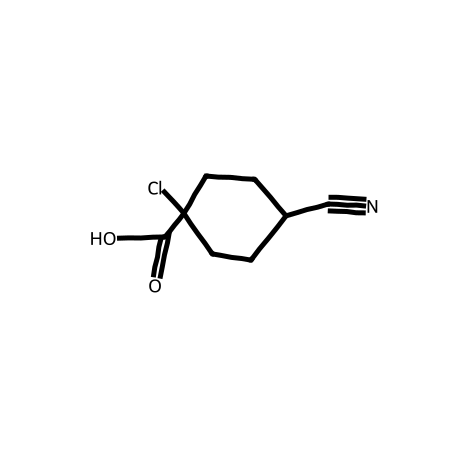 N#CC1CCC(Cl)(C(=O)O)CC1